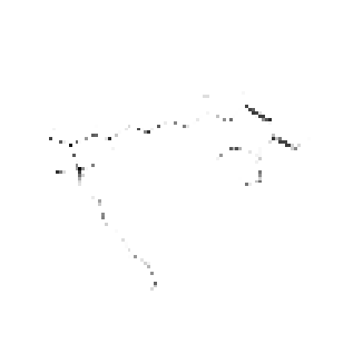 C/C=C(\C=C(\O)CNCCCCCCC(C)C(C)(C)OCCCCCC)N(CC)CC